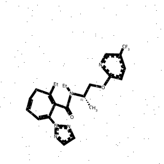 CCC1=C(C(=O)N(CC)[C@@H](C)COc2ccc(C(F)(F)F)cn2)C(n2nccn2)=CC=CC1